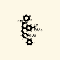 CCCCC1=C/C(=C\C(=C\c2sc3ccccc3[n+]2C)c2ccc(C(=O)OC)cc2)C=CN1c1ccccc1